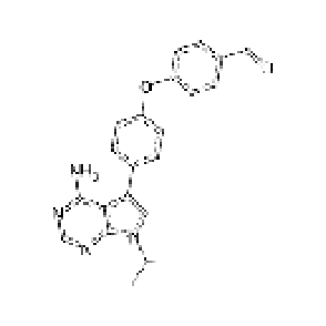 CC(C)n1cc(-c2ccc(Oc3ccc(C=O)cc3)cc2)c2c(N)ncnc21